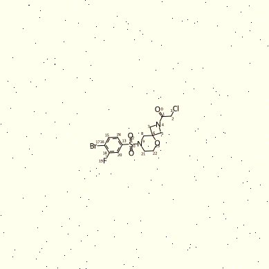 O=C(CCl)N1CC2(C1)CN(S(=O)(=O)c1ccc(Br)c(F)c1)CCO2